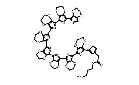 CSCCCSC(=O)CC1=CCC(c2sc(-c3sc(-c4sc(-c5sc(-c6sc(-c7sc(-c8sc(-c9scc%10c9OCCO%10)c9c8OCCO9)c8c7OCCO8)c7c6OCCO7)c6c5OCCO6)c5c4OCCO5)c4c3OCCO4)c3c2OCCO3)=C1